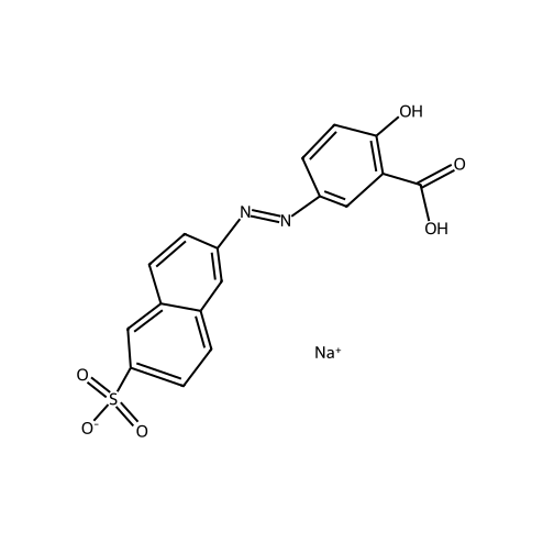 O=C(O)c1cc(N=Nc2ccc3cc(S(=O)(=O)[O-])ccc3c2)ccc1O.[Na+]